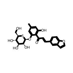 Cc1cc(O)c(C(=O)/C=C/c2ccc3occc3c2)c(O[C@@H]2S[C@H](CO)[C@@H](O)[C@H](O)[C@H]2O)c1